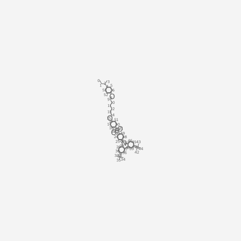 CC[C@@H](C)c1ccc(OCCCCCCOc2ccc(S(=O)(=O)c3ccc(-n4c5ccc(C(C)(C)C)cc5c5cc(C(C)(C)C)ccc54)cc3)cc2)cc1